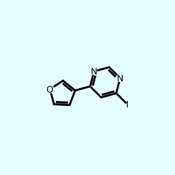 Ic1cc(-c2ccoc2)ncn1